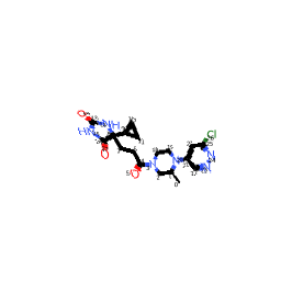 C[C@H]1CN(C(=O)CCC2(C3CC3)NC(=O)NC2=O)CCN1c1cnnc(Cl)c1